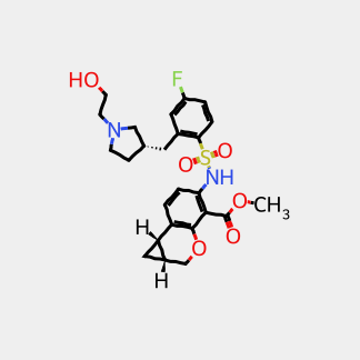 COC(=O)c1c(NS(=O)(=O)c2ccc(F)cc2C[C@@H]2CCN(CCO)C2)ccc2c1OC[C@@H]1C[C@H]21